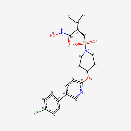 CC(C)[C@@H](CS(=O)(=O)N1CCC(Oc2ccc(-c3ccc(F)cc3)cn2)CC1)C(=O)NO